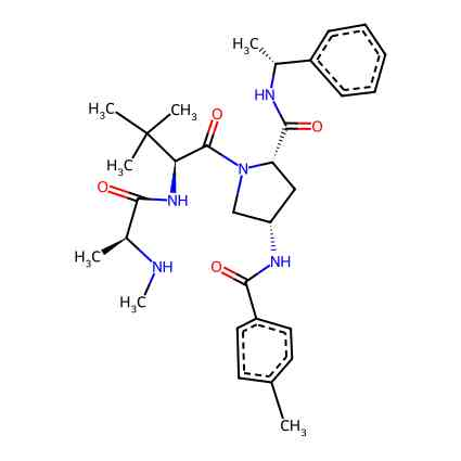 CN[C@@H](C)C(=O)N[C@H](C(=O)N1C[C@@H](NC(=O)c2ccc(C)cc2)C[C@H]1C(=O)N[C@H](C)c1ccccc1)C(C)(C)C